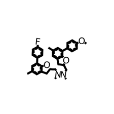 COc1ccc(-c2cc(C)cc3c2OC(CN(C)N(C)CC2Cc4cc(C)cc(-c5ccc(F)cc5)c4O2)C3)cc1